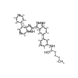 CCCCC(O)Nc1cncc(-c2ccc3[nH]nc(-c4nc5c(-c6ccncc6)cncc5[nH]4)c3c2)c1